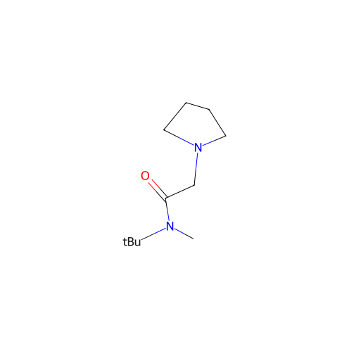 CN(C(=O)CN1CCCC1)C(C)(C)C